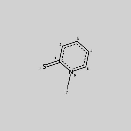 S=c1ccccn1I